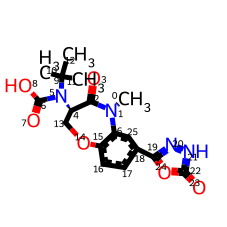 CN1C(=O)[C@@H](N(C(=O)O)C(C)(C)C)COc2ccc(-c3n[nH]c(=O)o3)cc21